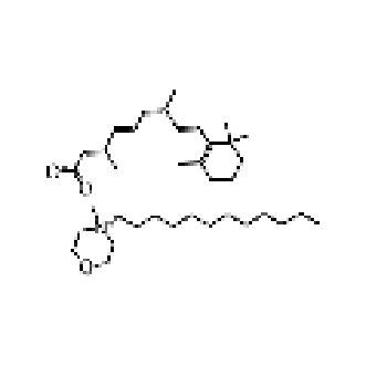 CC1=C(/C=C/C(C)=C\C=C\C(C)=C\C(=O)[O-])C(C)(C)CCC1.CCCCCCCCCCCC[N+]1(C)CCOCC1